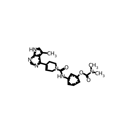 Cc1c[nH]c2ncnc(C3=CCN(C(=O)Nc4cccc(OC(=O)N(C)C)c4)CC3)c12